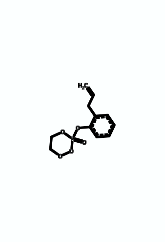 C=CCc1ccccc1OP1(=O)OCCOO1